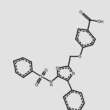 O=C(O)c1ccc(OCc2nc(-c3ccccc3)c(NS(=O)(=O)c3ccccc3)o2)cc1